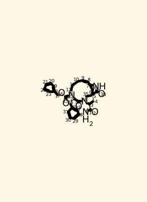 NC(=O)[C@@H]1C[C@@]23CC(/C=C\CCCN(C(=O)OCc4ccccc4)[C@@H](Cc4ccccc4)C(=O)N1C2)NC3=O